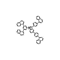 c1ccc2c(-c3ccc(-c4ccc5c(c4)c(-c4ccc(-c6cccc7ccccc67)cc4)cn5-c4cc(-c5cccc6ccccc56)cc(-c5cccc6ccccc56)c4)cc3)cccc2c1